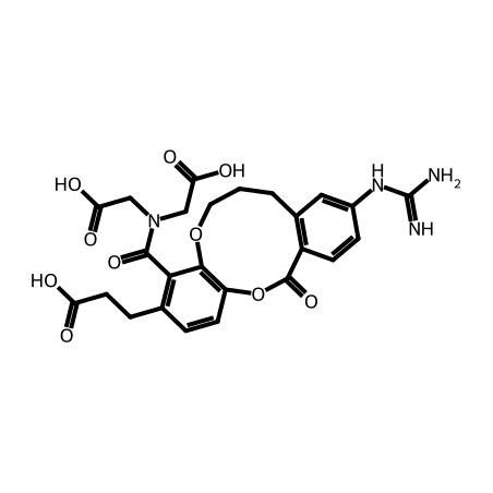 N=C(N)Nc1ccc2c(c1)CCCOc1c(ccc(CCC(=O)O)c1C(=O)N(CC(=O)O)CC(=O)O)OC2=O